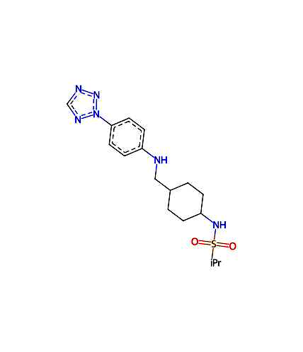 CC(C)S(=O)(=O)NC1CCC(CNc2ccc(-n3ncnn3)cc2)CC1